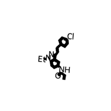 C=CC(=O)Nc1ccc2c(c1)c(C=Cc1ccc(Cl)cc1)nn2CC